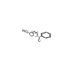 O=C(c1ccccc1)C(Cc1ccc(O)cc1)SS